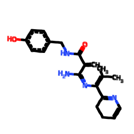 C=C(C(=O)NCc1ccc(O)cc1)/C(N)=N\C(C1=NC=CCC1)=C(C)C